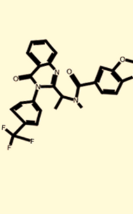 CC(c1nc2ccccc2c(=O)n1-c1ccc(C(F)(F)F)cc1)N(C)C(=O)c1ccc2c(c1)OCO2